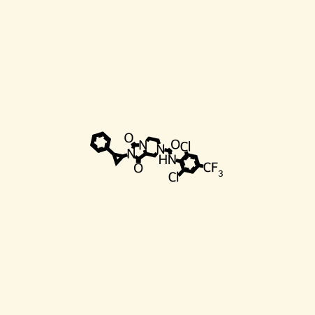 O=C(Nc1c(Cl)cc(C(F)(F)F)cc1Cl)N1CCN2C(=O)N(C3CC3c3ccccc3)C(=O)C2C1